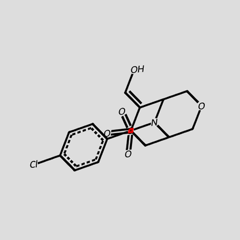 O=C1CC2COCC(C1=CO)N2S(=O)(=O)c1ccc(Cl)cc1